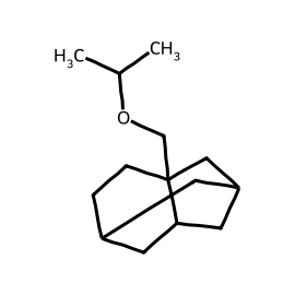 CC(C)OCC12CCC3CC(CC1C3)C2